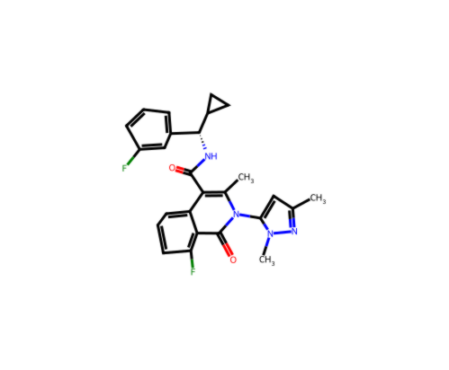 Cc1cc(-n2c(C)c(C(=O)N[C@H](c3cccc(F)c3)C3CC3)c3cccc(F)c3c2=O)n(C)n1